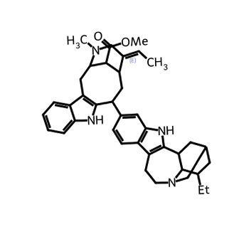 C/C=C1/CN(C)C2Cc3c([nH]c4ccccc34)C(c3ccc4c5c([nH]c4c3)C3CC4CC(CC)C3N(CC5)C4)CC1C2C(=O)OC